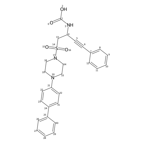 O=C(O)NC(C#Cc1ccccc1)CS(=O)(=O)N1CCN(c2ccc(-c3ccccc3)cc2)CC1